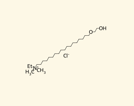 CC[N+](C)(C)CCCCCCCCCCCCCCCCCCOCCO.[Cl-]